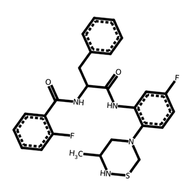 CC1CN(c2ccc(F)cc2NC(=O)C(Cc2ccccc2)NC(=O)c2ccccc2F)CSN1